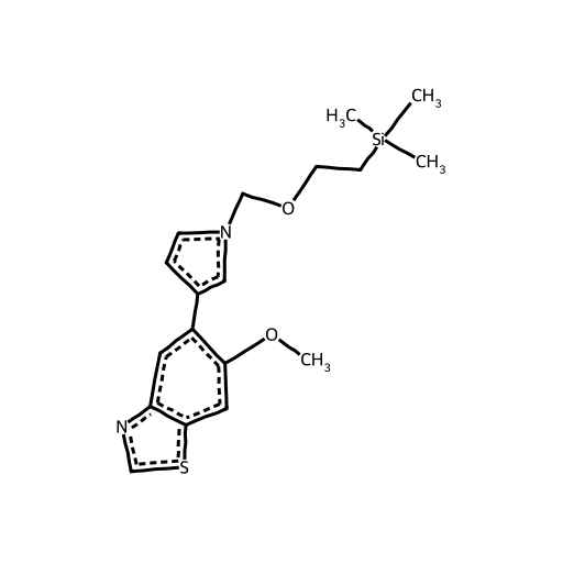 COc1cc2scnc2cc1-c1ccn(COCC[Si](C)(C)C)c1